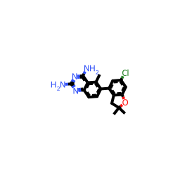 Cc1c(-c2cc(Cl)cc3c2CC(C)(C)O3)ccc2nc(N)nc(N)c12